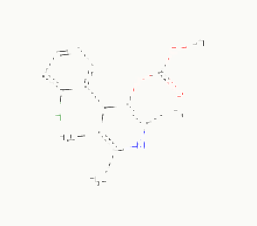 COC(=O)OC1=C(C)NC(C)=C(C)C1c1ccccc1Cl